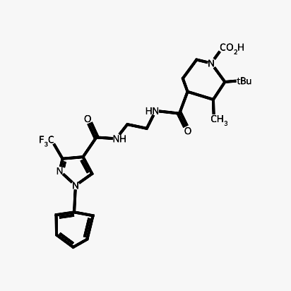 CC1C(C(=O)NCCNC(=O)c2cn(-c3ccccc3)nc2C(F)(F)F)CCN(C(=O)O)C1C(C)(C)C